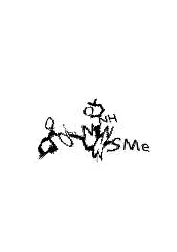 CSc1ncc2cc([C@@H](C)OC(=O)c3ccccc3)nc(NC3CCC(C)(C)OC3)c2n1